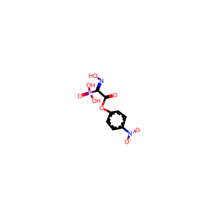 O=C(Oc1ccc([N+](=O)[O-])cc1)C(=NO)P(=O)(O)O